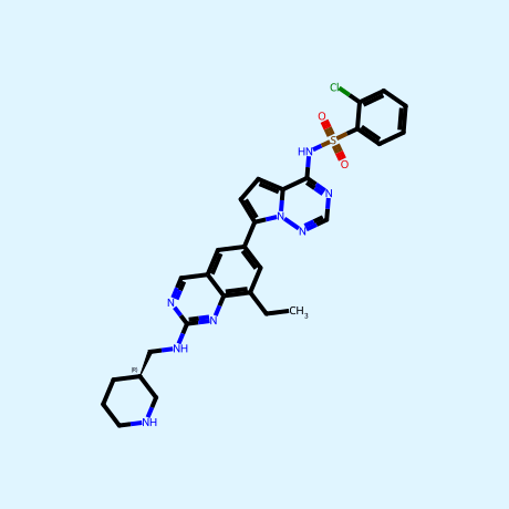 CCc1cc(-c2ccc3c(NS(=O)(=O)c4ccccc4Cl)ncnn23)cc2cnc(NC[C@@H]3CCCNC3)nc12